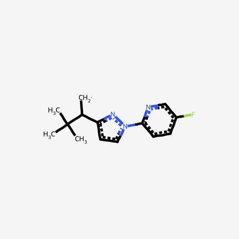 [CH2]C(c1ccn(-c2ccc(F)cn2)n1)C(C)(C)C